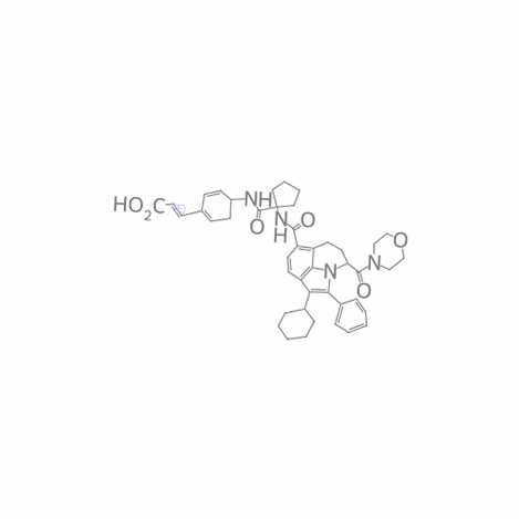 O=C(O)/C=C/C1=CCC(NC(=O)C2(NC(=O)c3ccc4c(C5CCCCC5)c(-c5ccccc5)n5c4c3CCC5C(=O)N3CCOCC3)CCCC2)C=C1